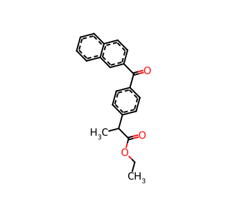 CCOC(=O)C(C)c1ccc(C(=O)c2ccc3ccccc3c2)cc1